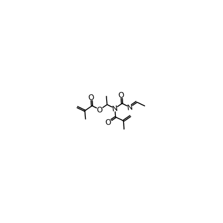 C=C(C)C(=O)OC(C)N(C(=O)N=CC)C(=O)C(=C)C